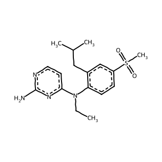 CCN(c1ccnc(N)n1)c1ccc(S(C)(=O)=O)cc1CC(C)C